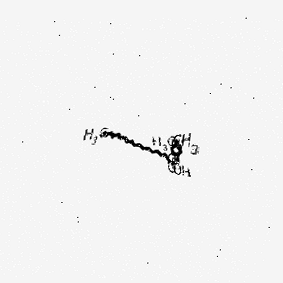 CCCCCCCCCCCCCCCCCCOP(=O)(O)CC1CC[N+](C)(C)CC1